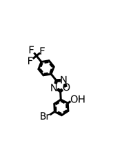 Oc1ccc(Br)cc1-c1nc(-c2ccc(C(F)(F)F)cc2)no1